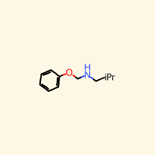 CC(C)CNCOc1ccccc1